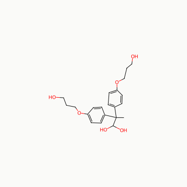 CC(c1ccc(OCCCO)cc1)(c1ccc(OCCCO)cc1)C(O)O